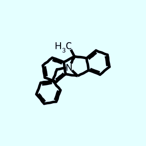 CC12c3ccccc3C(c3ccccc31)N2Cc1ccccc1